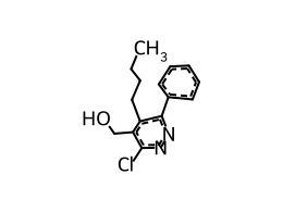 CCCCc1c(-c2ccccc2)nnc(Cl)c1CO